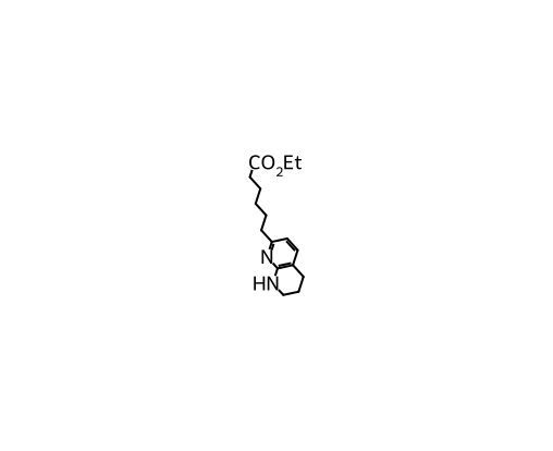 CCOC(=O)CCCCCc1ccc2c(n1)NCCC2